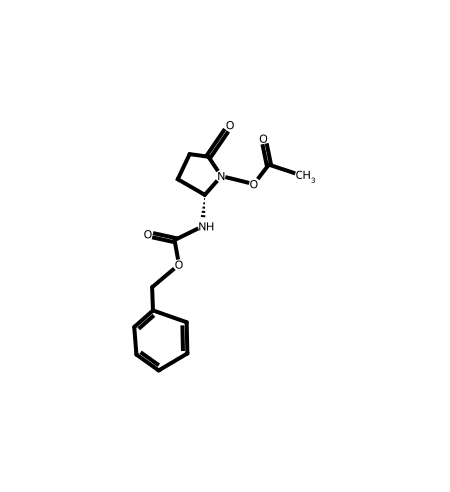 CC(=O)ON1C(=O)CC[C@H]1NC(=O)OCc1ccccc1